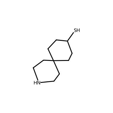 SC1CCC2(CCNCC2)CC1